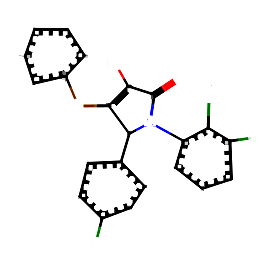 O=C1C(O)=C(Sc2ccccc2)C(c2ccc(Cl)cc2)N1c1cccc(Cl)c1F